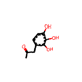 CC(=O)Cc1ccc(O)c(O)c1O